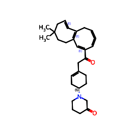 CC1(C)C/C=C/C2=C(/C=C(/C(=O)CC3=CC[C@@H](N4CCCC(=O)C4)CC3)C=C=CC2)CC1